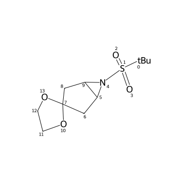 CC(C)(C)S(=O)(=O)N1C2CC3(CC21)OCCO3